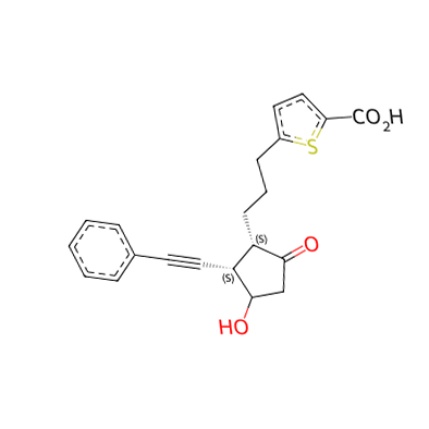 O=C(O)c1ccc(CCC[C@@H]2C(=O)CC(O)[C@@H]2C#Cc2ccccc2)s1